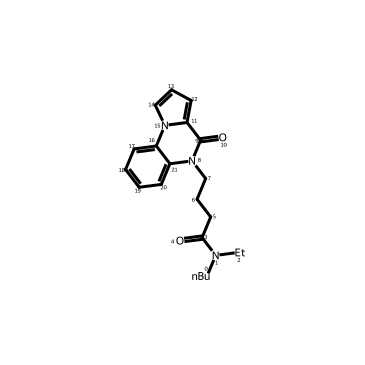 CCCCN(CC)C(=O)CCCn1c(=O)c2cccn2c2ccccc21